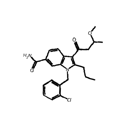 CCCc1c(C(=O)CC(C)OC)c2ccc(C(N)=O)cc2n1Cc1ccccc1Cl